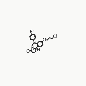 O=C1CC[C@@H]2c3ccc(OCCCCl)cc3[C@H](c3ccc(Br)cc3)CN12